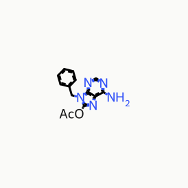 CC(=O)Oc1nc2c(N)ncnc2n1Cc1ccccc1